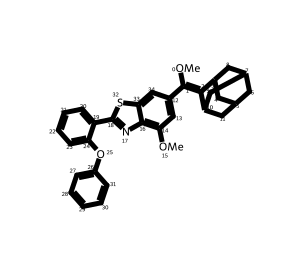 COC(=C1C2CC3CC(C2)CC1C3)c1cc(OC)c2nc(-c3ccccc3Oc3ccccc3)sc2c1